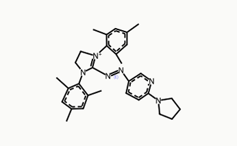 Cc1cc(C)c(N2CC[N+](c3c(C)cc(C)cc3C)=C2/N=N/c2ccc(N3CCCC3)nc2)c(C)c1